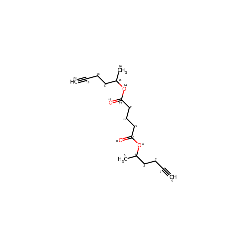 C#CCCC(C)OC(=O)CCCC(=O)OC(C)CCC#C